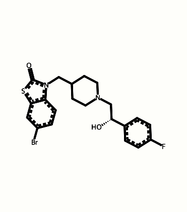 O=c1sc2cc(Br)ccc2n1CC1CCN(C[C@@H](O)c2ccc(F)cc2)CC1